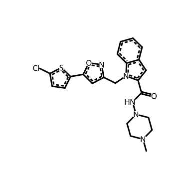 CN1CCN(NC(=O)c2cc3ccccc3n2Cc2cc(-c3ccc(Cl)s3)on2)CC1